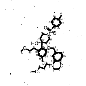 COCCCN1CCOc2ccc(CO[C@H]3CN(S(=O)(=O)c4ccc(C)cc4)CC[C@]3(O)c3ccc(Cl)cc3CCOC)cc21